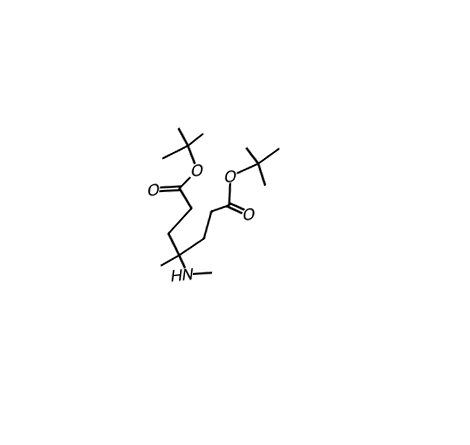 CNC(C)(CCC(=O)OC(C)(C)C)CCC(=O)OC(C)(C)C